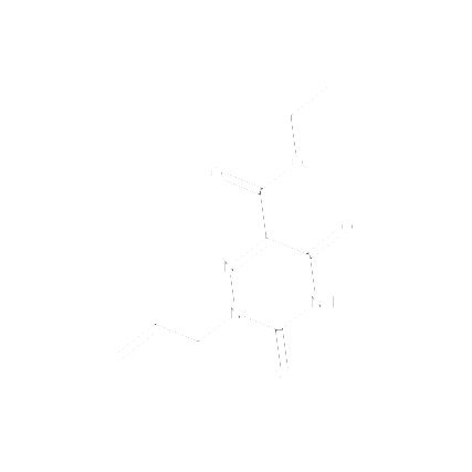 C=CCn1nc(C(=O)OCC)c(=O)[nH]c1=O